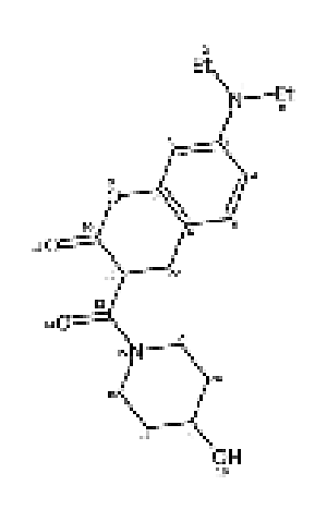 CCN(CC)c1ccc2c(c1)OC(=O)C(C(=O)N1CCC(O)CC1)C2